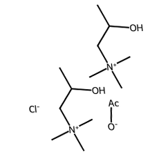 CC(=O)[O-].CC(O)C[N+](C)(C)C.CC(O)C[N+](C)(C)C.[Cl-]